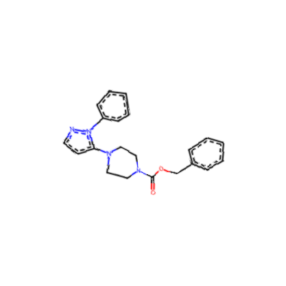 O=C(OCc1ccccc1)N1CCN(c2ccnn2-c2ccccc2)CC1